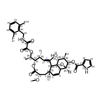 CO[C@H]1C[C@H]2C=CC3C4[C@H](O)[C@@H](C)[C@@H](OC(=O)c5ccc[nH]5)[C@@H]3O[C@]42/C(C)=C/[C@@H](C)[C@@H]([C@@H](C)OC(=O)C(=O)NCc2c(F)cccc2F)OC1=O